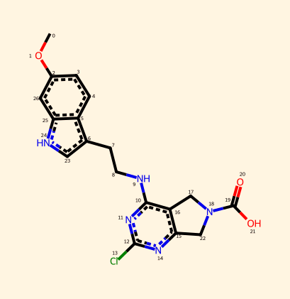 COc1ccc2c(CCNc3nc(Cl)nc4c3CN(C(=O)O)C4)c[nH]c2c1